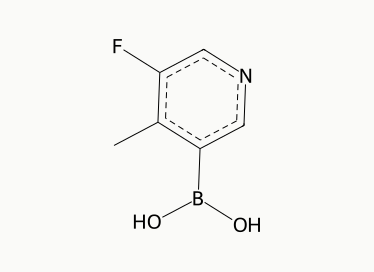 Cc1c(F)cncc1B(O)O